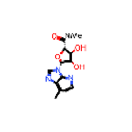 CNC(=O)[C@H]1O[C@@H](n2cnc3c(C)ccnc32)[C@H](O)[C@@H]1O